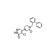 O=C1CN(c2cn[nH]c(=O)c2Cl)CCN1Cc1ccccc1-c1ccccc1